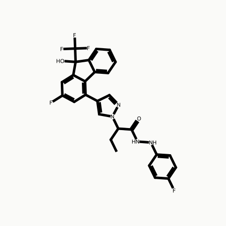 CCC(C(=O)NNc1ccc(F)cc1)n1cc(-c2cc(F)cc3c2-c2ccccc2C3(O)C(F)(F)F)cn1